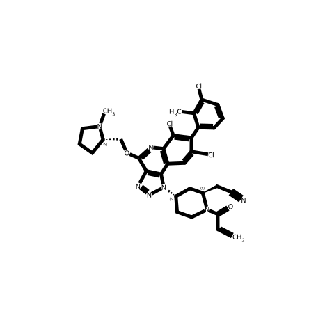 C=CC(=O)N1CC[C@H](n2nnc3c(OC[C@@H]4CCCN4C)nc4c(Cl)c(-c5cccc(Cl)c5C)c(Cl)cc4c32)C[C@H]1CC#N